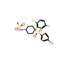 CS(=O)(=O)N[C@H]1CC[C@@](c2cc(F)ccc2F)(S(=O)(=O)c2ccc(Cl)cc2)CC1